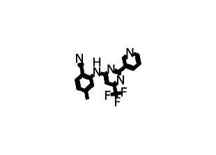 Cc1ccc(C#N)c(Nc2cc(C(F)(F)F)nc(-c3cccnc3)n2)c1